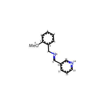 COc1ccccc1CN=Cc1cccnc1